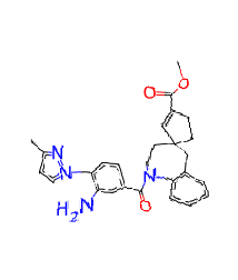 COC(=O)C1=CC2(CC1)CCN(C(=O)c1ccc(-n3ccc(C)n3)c(N)c1)c1ccccc1C2